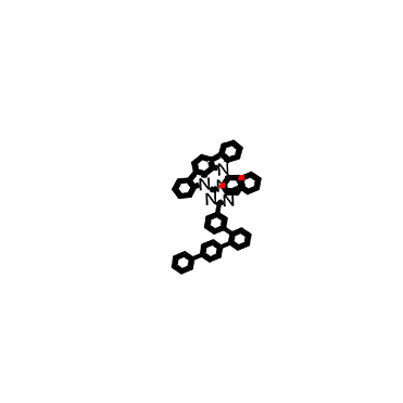 c1ccc(-c2ccc(-c3ccccc3-c3cccc(-c4nc(-c5ccccc5)nc(-n5c6ccccc6c6ccc7c8ccccc8n(-c8ccccc8)c7c65)n4)c3)cc2)cc1